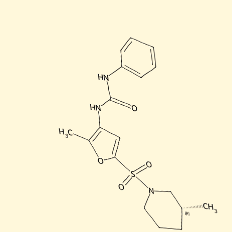 Cc1oc(S(=O)(=O)N2CCC[C@@H](C)C2)cc1NC(=O)Nc1ccccc1